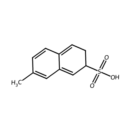 Cc1ccc2c(c1)=CC(S(=O)(=O)O)CC=2